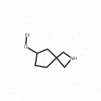 CCOC1CCC2(CNC2)C1